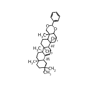 CC1(C)CC[C@]2(C)CC[C@]3(C)C(=CC[C@@H]4[C@@]5(C)CCC6OC(c7ccccc7)OC[C@@]6(C)C5CC[C@]43C)[C@H]2C1